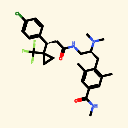 CNC(=O)c1cc(C)c(C[C@@H](CNC(=O)C[C@@H](c2ccc(Cl)cc2)C2(C(F)(F)F)CC2)N(C)C)c(C)c1